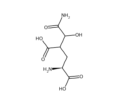 NC(=O)C(O)C(C[C@H](N)C(=O)O)C(=O)O